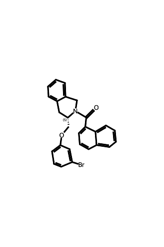 O=C(c1cccc2ccccc12)N1Cc2ccccc2C[C@H]1COc1cccc(Br)c1